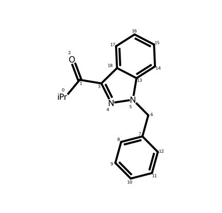 CC(C)C(=O)c1nn(Cc2ccccc2)c2ccccc12